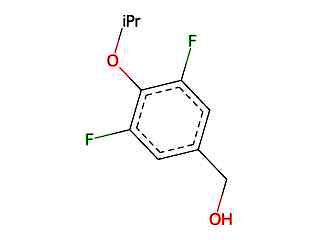 CC(C)Oc1c(F)cc(CO)cc1F